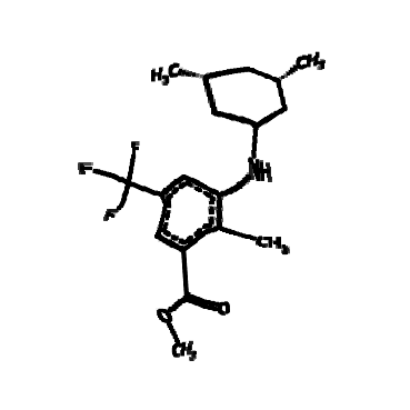 COC(=O)c1cc(C(F)(F)F)cc(NC2C[C@@H](C)C[C@@H](C)C2)c1C